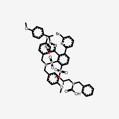 COc1ccc(CN(Cc2ccc(OC)cc2)S(=O)(=O)c2c(S(=O)(=O)N[C@H](C)CN(Cc3ccccc3)C(=O)O)ccc(-c3cccc(Br)n3)c2-c2nnn(Cc3ccc(OC)cc3)n2)cc1